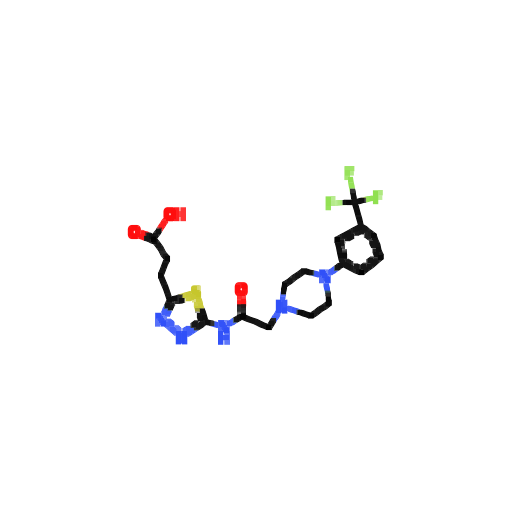 O=C(O)CCc1nnc(NC(=O)CN2CCN(c3cccc(C(F)(F)F)c3)CC2)s1